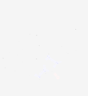 O=c1n(Cc2ccc(C(F)(F)F)cc2)nc2c(-c3ccc(Cl)cc3)c(-c3ccccc3)cnn12